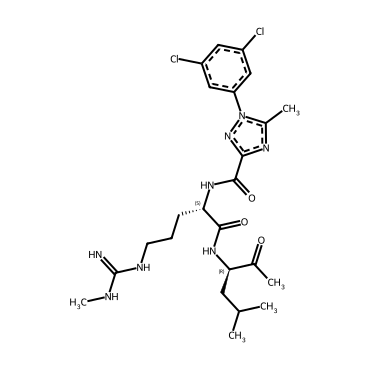 CNC(=N)NCCC[C@H](NC(=O)c1nc(C)n(-c2cc(Cl)cc(Cl)c2)n1)C(=O)N[C@H](CC(C)C)C(C)=O